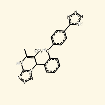 CC1=C(C(=O)O)C(c2ccccc2Oc2ccc(-c3nnn[nH]3)cc2)n2nnnc2N1